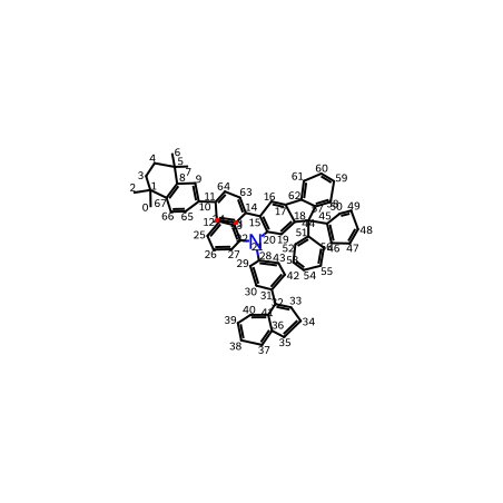 CC1(C)CCC(C)(C)c2cc(-c3ccc(-c4cc5c(cc4N(c4ccccc4)c4ccc(-c6cccc7ccccc67)cc4)C(c4ccccc4)(c4ccccc4)c4ccccc4-5)cc3)ccc21